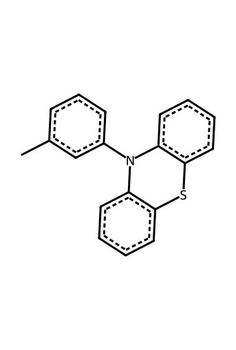 Cc1cccc(N2c3ccccc3Sc3ccccc32)c1